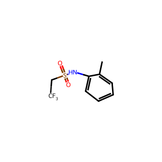 Cc1ccccc1NS(=O)(=O)CC(F)(F)F